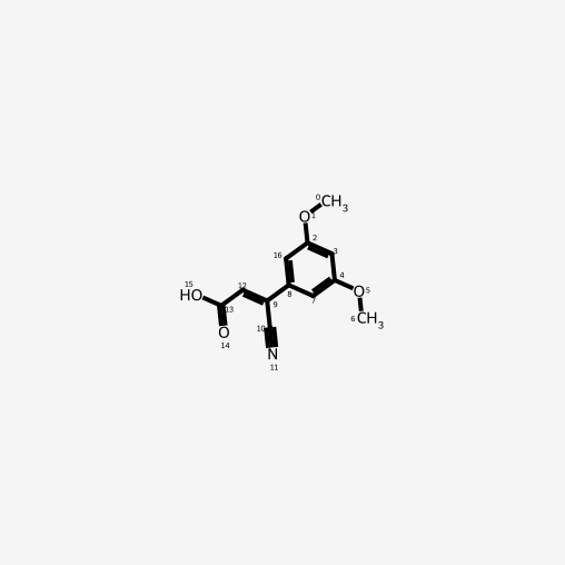 COc1cc(OC)cc(C(C#N)=CC(=O)O)c1